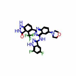 O=c1[nH][nH]c2ccc(-c3nc(Nc4n[nH]c5c(F)cc(F)cc45)c4cc(N5CCOCC5)ccc4n3)c(C(F)(F)F)c12